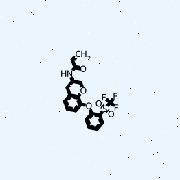 C=CC(=O)NC1COc2c(cccc2Oc2ccccc2S(=O)(=O)C(F)(F)F)C1